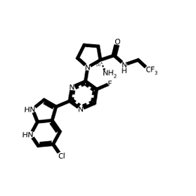 N[C@@]1(C(=O)NCC(F)(F)F)CCCN1c1nc(C2=CNC3NC=C(Cl)C=C23)ncc1F